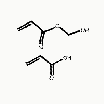 C=CC(=O)O.C=CC(=O)OCO